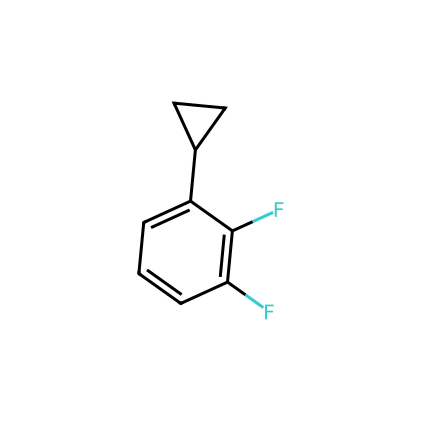 Fc1cccc(C2CC2)c1F